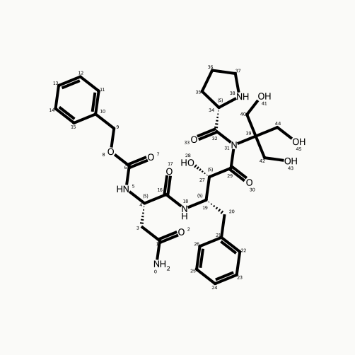 NC(=O)C[C@H](NC(=O)OCc1ccccc1)C(=O)N[C@@H](Cc1ccccc1)[C@H](O)C(=O)N(C(=O)[C@@H]1CCCN1)C(CO)(CO)CO